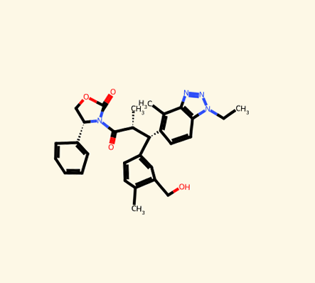 CCn1nnc2c(C)c([C@H](c3ccc(C)c(CO)c3)[C@@H](C)C(=O)N3C(=O)OC[C@H]3c3ccccc3)ccc21